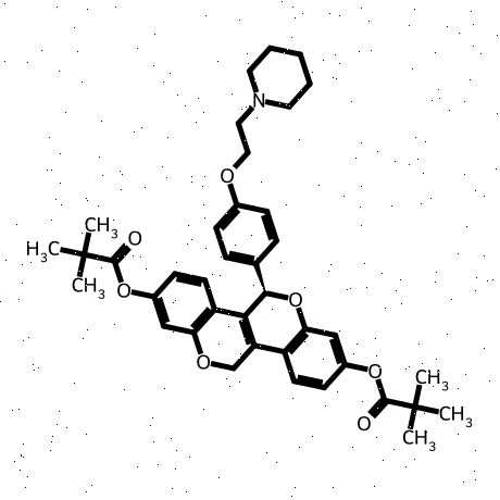 CC(C)(C)C(=O)Oc1ccc2c(c1)O[C@H](c1ccc(OCCN3CCCCC3)cc1)C1=C2COc2cc(OC(=O)C(C)(C)C)ccc21